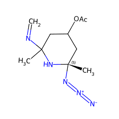 C=NC1(C)CC(OC(C)=O)C[C@](C)(N=[N+]=[N-])N1